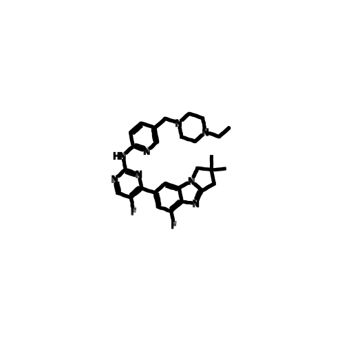 CCN1CCN(Cc2ccc(Nc3ncc(F)c(-c4cc(F)c5nc6n(c5c4)CC(C)(C)C6)n3)nc2)CC1